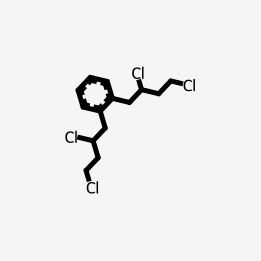 ClCCC(Cl)Cc1ccccc1CC(Cl)CCCl